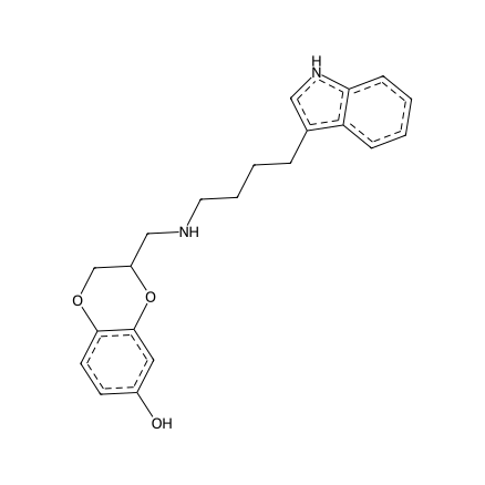 Oc1ccc2c(c1)OC(CNCCCCc1c[nH]c3ccccc13)CO2